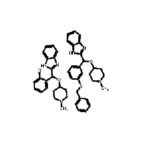 CN1CCC(OC(c2cccc(SCc3ccccc3)c2)c2nc3ccccc3[nH]2)CC1.CN1CCC(OC(c2nc3ccccc3[nH]2)c2ccccc2Cl)CC1